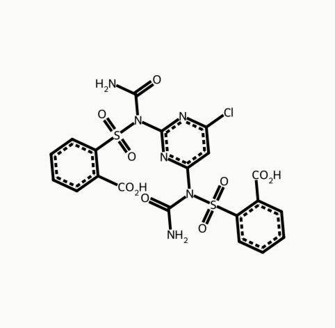 NC(=O)N(c1cc(Cl)nc(N(C(N)=O)S(=O)(=O)c2ccccc2C(=O)O)n1)S(=O)(=O)c1ccccc1C(=O)O